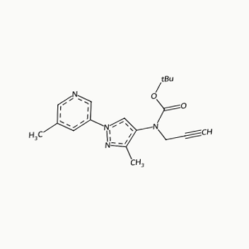 C#CCN(C(=O)OC(C)(C)C)c1cn(-c2cncc(C)c2)nc1C